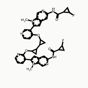 Cn1c(-c2cnccc2OC2CC2C2CC2Oc2ncccc2-c2cc3cc(NC(=O)C4CC4F)ncc3n2C)cc2cc(NC(=O)C3CC3F)ncc21